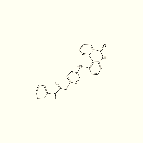 O=C(Cc1ccc(Nc2ccnc3[nH]c(=O)c4ccccc4c23)cc1)Nc1ccccc1